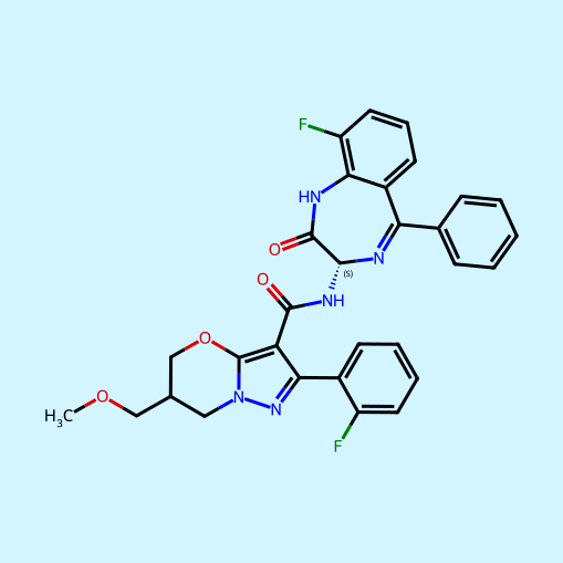 COCC1COc2c(C(=O)N[C@H]3N=C(c4ccccc4)c4cccc(F)c4NC3=O)c(-c3ccccc3F)nn2C1